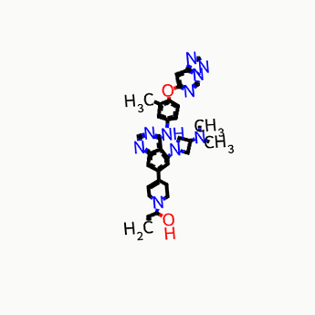 C=CC(O)N1CC=C(c2cc(N3CC(N(C)C)C3)c3c(Nc4ccc(Oc5cc6ncnn6cn5)c(C)c4)ncnc3c2)CC1